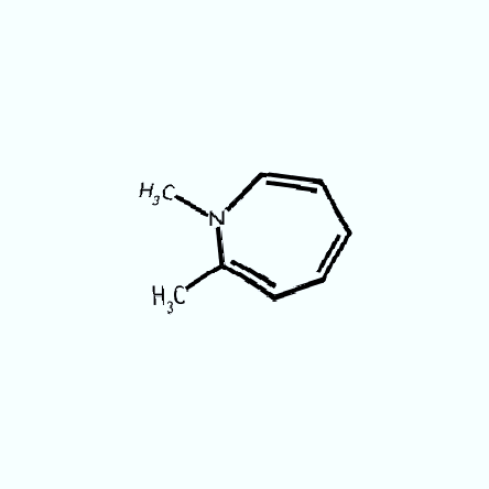 CC1=CC=CC=CN1C